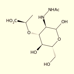 CC(=O)NN[C@H]1C(O)O[C@H](CO)[C@@H](O)[C@@H]1O[C@H](C)C(=O)O